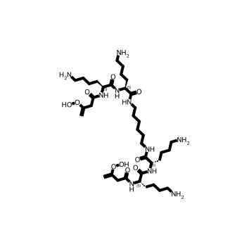 C=C(CC(=O)N[C@@H](CCCCN)C(=O)N[C@@H](CCCCN)C(=O)NCCCCCCNC(=O)[C@H](CCCCN)NC(=O)[C@H](CCCCN)NC(=O)CC(=C)OO)OO